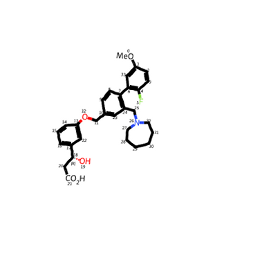 COc1ccc(F)c(-c2ccc(COc3cccc([C@H](O)CC(=O)O)c3)cc2CN2CCCCCC2)c1